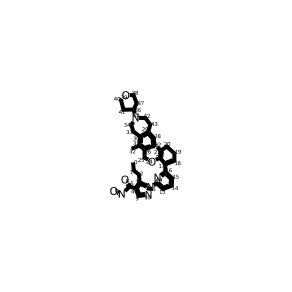 CCCc1c(C(=O)N=O)cnn1-c1cccc(C2=CCCC(C)=C2OCc2ccc3c(c2C)CCN(C2CCOCC2)CC3)n1